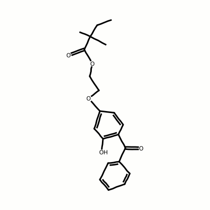 CCC(C)(C)C(=O)OCCOc1ccc(C(=O)c2ccccc2)c(O)c1